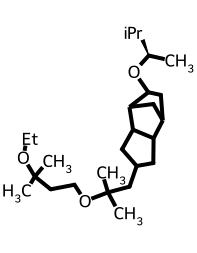 CCOC(C)(C)CCOC(C)(C)CC1CC2C3CC(O[C@H](C)C(C)C)C(C3)C2C1